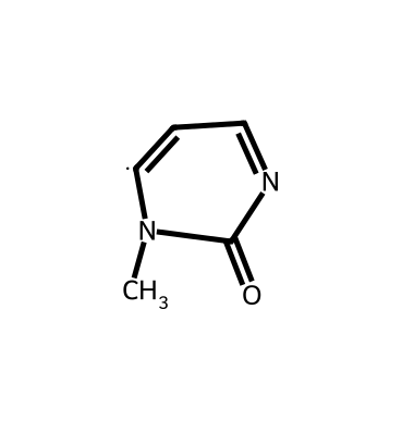 Cn1[c]ccnc1=O